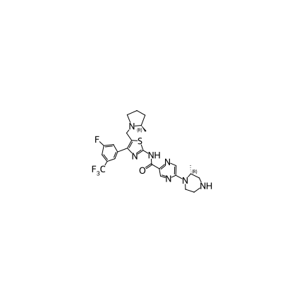 C[C@@H]1CCCN1Cc1sc(NC(=O)c2cnc(N3CCNC[C@H]3C)cn2)nc1-c1cc(F)cc(C(F)(F)F)c1